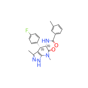 Cc1cccc(C(=O)N[C@@H]2C(=O)N(C)c3[nH]nc(C)c3[C@@H]2c2ccc(F)cc2)c1